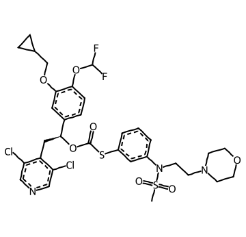 CS(=O)(=O)N(CCN1CCOCC1)c1cccc(SC(=O)O[C@@H](Cc2c(Cl)cncc2Cl)c2ccc(OC(F)F)c(OCC3CC3)c2)c1